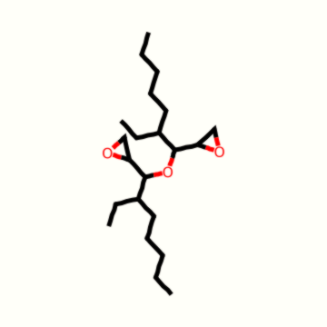 CCCCCC(CC)C(OC(C(CC)CCCCC)C1CO1)C1CO1